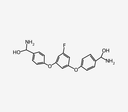 NC(O)c1ccc(Oc2cc(F)cc(Oc3ccc(C(N)O)cc3)c2)cc1